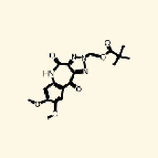 COc1cc2[nH]c(=O)c3nn(COC(=O)C(C)(C)C)nc3c(=O)c2cc1OC